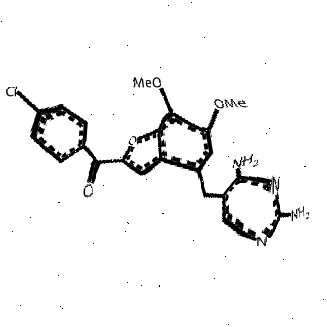 COc1cc(Cc2cnc(N)nc2N)c2cc(C(=O)c3ccc(Cl)cc3)oc2c1OC